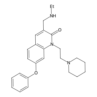 CCNCc1cc2ccc(Oc3ccccc3)cc2n(CCN2CCCCC2)c1=O